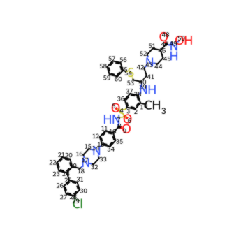 Cc1cc(S(=O)(=O)NC(=O)c2ccc(N3CCN(Cc4ccccc4-c4ccc(Cl)cc4)CC3)cc2)ccc1N[C@H](CCN1CCC(C(=O)NO)CC1)CSc1ccccc1